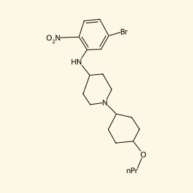 CCCOC1CCC(N2CCC(Nc3cc(Br)ccc3[N+](=O)[O-])CC2)CC1